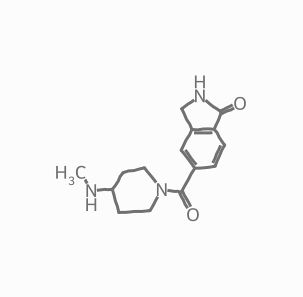 CNC1CCN(C(=O)c2ccc3c(c2)CNC3=O)CC1